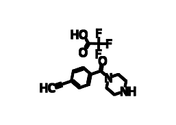 C#Cc1ccc(C(=O)N2CCNCC2)cc1.O=C(O)C(F)(F)F